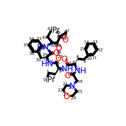 CC(C)CC[C@H](NC(=O)[C@H](CCc1ccccc1)NC(=O)CN1CCOCC1)C(=O)N[C@@H](Cc1ccccc1)C(=O)NC(CC(C)C)C(=O)[C@@]1(C)CO1